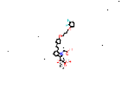 CC(C)(C(=O)O)C(=O)c1cn(CC(=O)O)c2c(/C=C/c3ccc(OCCCCOc4cccc(F)c4F)cc3)cccc12